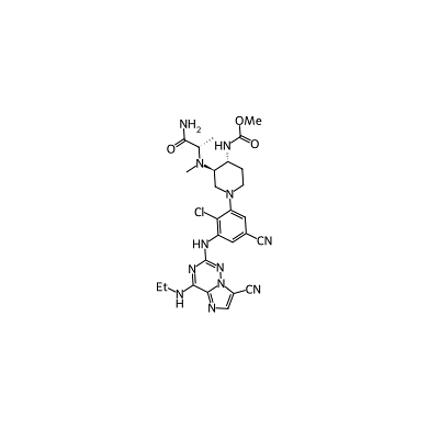 CCNc1nc(Nc2cc(C#N)cc(N3CC[C@@H](NC(=O)OC)[C@H](N(C)[C@@H](C)C(N)=O)C3)c2Cl)nn2c(C#N)cnc12